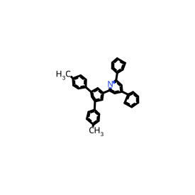 Cc1ccc(-c2cc(-c3ccc(C)cc3)cc(-c3cc(-c4ccccc4)cc(-c4ccccc4)n3)c2)cc1